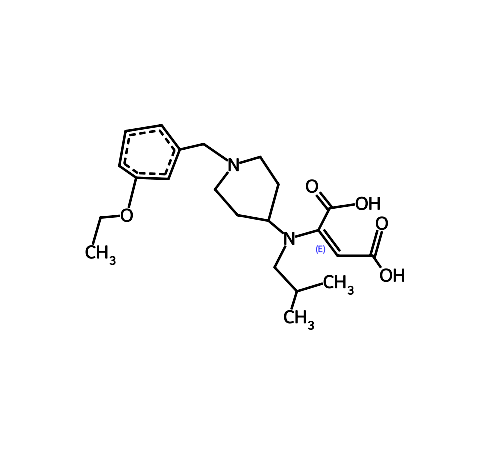 CCOc1cccc(CN2CCC(N(CC(C)C)/C(=C/C(=O)O)C(=O)O)CC2)c1